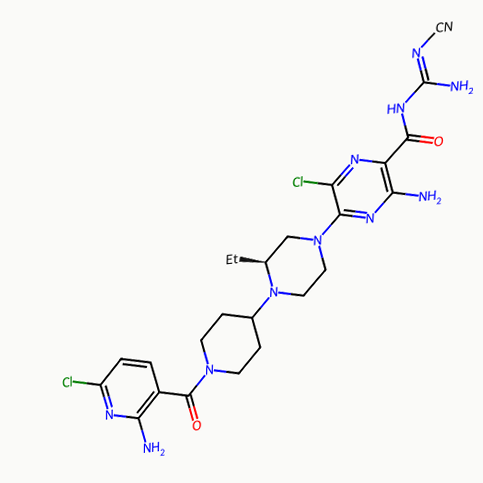 CC[C@H]1CN(c2nc(N)c(C(=O)N/C(N)=N/C#N)nc2Cl)CCN1C1CCN(C(=O)c2ccc(Cl)nc2N)CC1